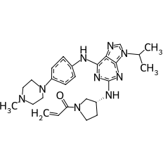 C=CC(=O)N1CC[C@@H](Nc2nc(Nc3ccc(N4CCN(C)CC4)cc3)c3ncn(C(C)C)c3n2)C1